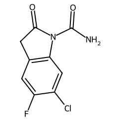 NC(=O)N1C(=O)Cc2cc(F)c(Cl)cc21